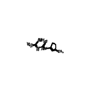 CC1CCC(NC(=O)NC(N)C(=O)O)C1